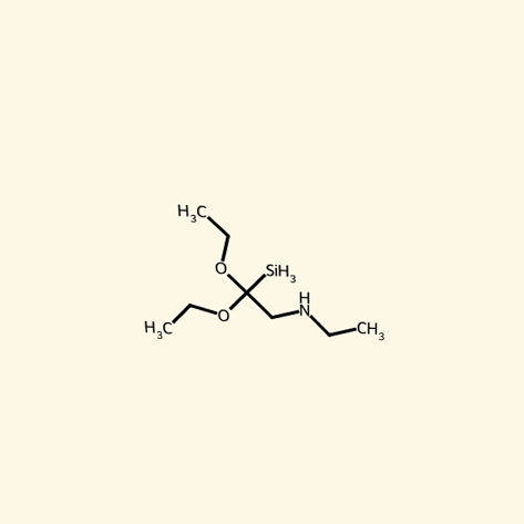 CCNCC([SiH3])(OCC)OCC